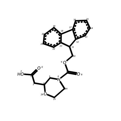 O=C(O)CC1CN(C(=O)OCC2c3ccccc3-c3ccccc32)CCO1